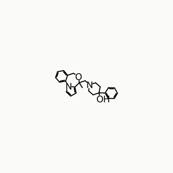 CC1(CN2CCC(O)(c3ccccc3)CC2)OCc2ccccc2-n2cccc21